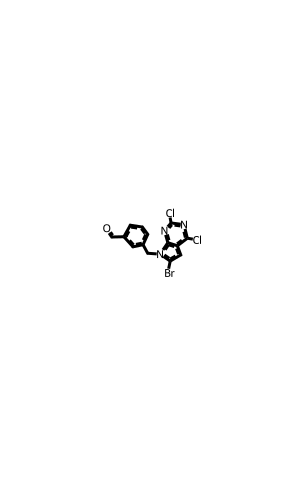 O=Cc1cccc(Cn2c(Br)cc3c(Cl)nc(Cl)nc32)c1